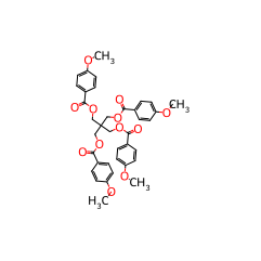 COc1ccc(C(=O)OCC(COC(=O)c2ccc(OC)cc2)(COC(=O)c2ccc(OC)cc2)COC(=O)c2ccc(OC)cc2)cc1